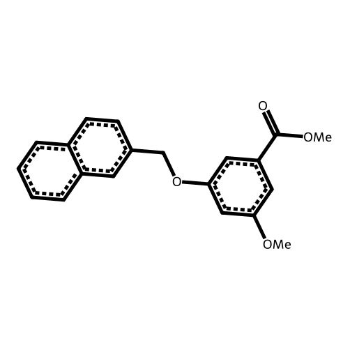 COC(=O)c1cc(OC)cc(OCc2ccc3ccccc3c2)c1